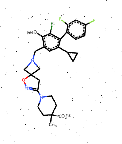 CCOC(=O)C1(C)CCN(C2=NOC3(C2)CN(Cc2cc(C4CC4)c(-c4ccc(F)cc4F)c(Cl)c2OC)C3)CC1